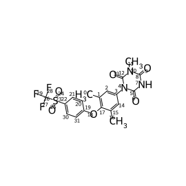 Cc1cc(-n2c(=O)[nH]c(=O)n(C)c2=O)cc(C)c1Oc1ccc(S(=O)(=O)C(F)(F)F)cc1